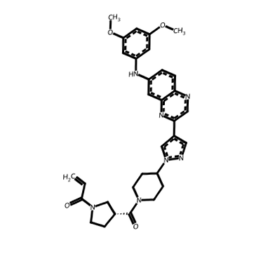 C=CC(=O)N1CC[C@@H](C(=O)N2CCC(n3cc(-c4cnc5ccc(Nc6cc(OC)cc(OC)c6)cc5n4)cn3)CC2)C1